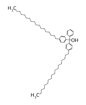 CCCCCCCCCCCCCCCCCCc1ccc(C(O)(c2ccccc2)c2ccc(CCCCCCCCCCCCCCCCCC)cc2)cc1